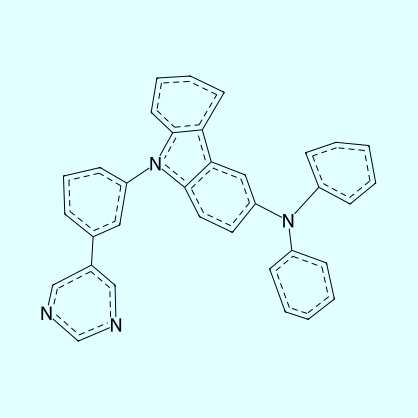 c1ccc(N(c2ccccc2)c2ccc3c(c2)c2ccccc2n3-c2cccc(-c3cncnc3)c2)cc1